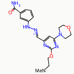 CNCCOc1nc(/C=N/Nc2cccc(C(N)=O)c2)cc(N2CCOCC2)n1